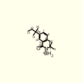 Bn1c(C)nc2ccc(C(C)(C)CC)cc2c1=O